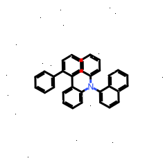 c1ccc(-c2ccccc2-c2ccccc2N(c2ccccc2)c2cccc3ccccc23)cc1